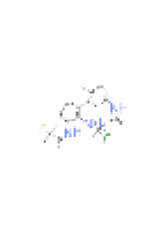 C=C(Nc1ccc(C)c(-c2cccc(NC(=C)C(C)(C)F)c2N)c1)C1CC1(C)Cl